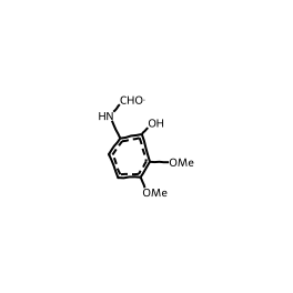 COc1ccc(N[C]=O)c(O)c1OC